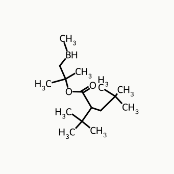 CBCC(C)(C)OC(=O)C(CC(C)(C)C)C(C)(C)C